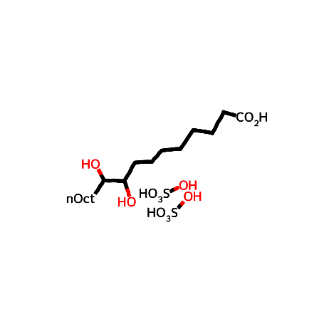 CCCCCCCCC(O)C(O)CCCCCCCC(=O)O.O=S(=O)(O)O.O=S(=O)(O)O